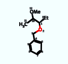 CC[C@@H](OCc1ccccc1)C(C)OC